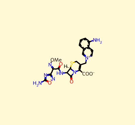 CO/N=C(\C(=O)NC1C(=O)N2C(C(=O)[O-])=C(C[n+]3ccc4c(N)cccc4c3)CS[C@H]12)c1noc(N)n1